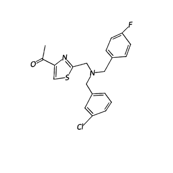 CC(=O)c1csc(CN(Cc2ccc(F)cc2)Cc2cccc(Cl)c2)n1